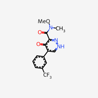 CON(C)C(=O)c1n[nH]cc(-c2cccc(C(F)(F)F)c2)c1=O